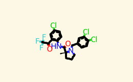 C[C@]1(C(=O)Nc2ccc(Cl)cc2C(=O)C(F)(F)F)CCCN1Cc1ccc(Cl)c(Cl)c1